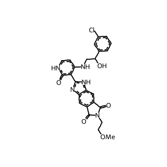 COCCN1C(=O)c2cc3nc(-c4c(NCC(O)c5cccc(Cl)c5)cc[nH]c4=O)[nH]c3cc2C1=O